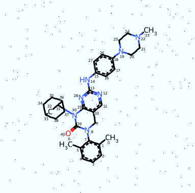 Cc1cccc(C)c1N1Cc2cnc(Nc3ccc(N4CCN(C)CC4)cc3)nc2N(C2CC3CCC2CC3)C1=O